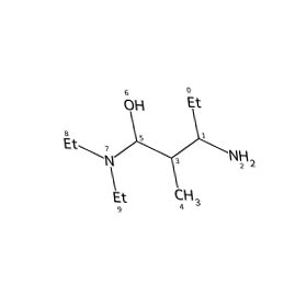 CCC(N)C(C)C(O)N(CC)CC